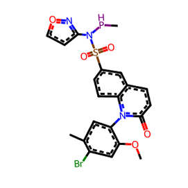 COc1cc(Br)c(C)cc1-n1c(=O)ccc2cc(S(=O)(=O)N(PC)c3ccon3)ccc21